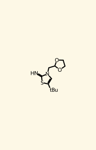 CC(C)(C)c1cn(CC2OCCO2)c(=N)s1